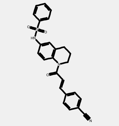 N#Cc1ccc(C=CC(=O)N2CCCc3cc(NS(=O)(=O)c4ccccc4)ccc32)cc1